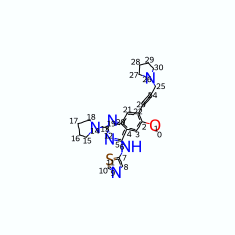 COc1cc2c(Nc3cncs3)nc(N3CCCC3)nc2cc1C#CCN1CCCC1